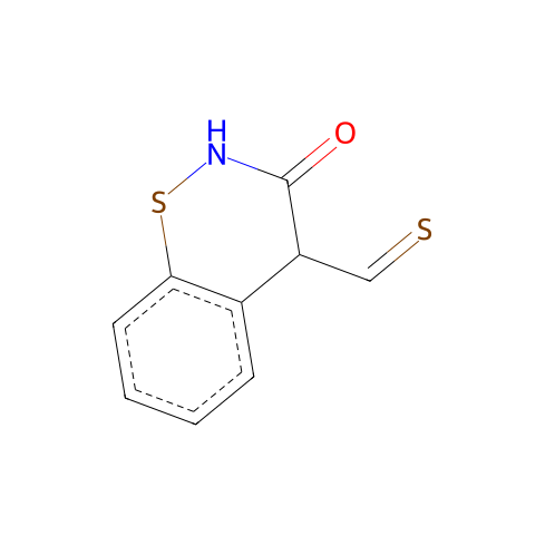 O=C1NSc2ccccc2C1C=S